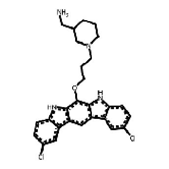 NCC1CCCN(CCCOc2c3[nH]c4ccc(Cl)cc4c3cc3c2[nH]c2ccc(Cl)cc23)C1